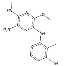 CNc1nc(OC)c(Nc2cccc(O)c2C)cc1N